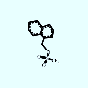 O=S(=O)(OCc1cccc2ccccc12)C(F)(F)F